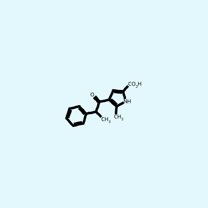 Cc1[nH]c(C(=O)O)cc1C(=O)C(C)c1ccccc1